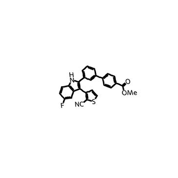 COC(=O)c1ccc(-c2cccc(-c3[nH]c4ccc(F)cc4c3-c3ccsc3C#N)c2)cc1